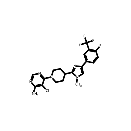 Cn1cc(-c2ccc(F)c(C(F)(F)F)c2)nc1C1CCN(c2ncnc(N)c2Cl)CC1